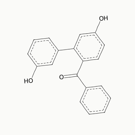 O=C(c1ccccc1)c1ccc(O)cc1-c1cccc(O)c1